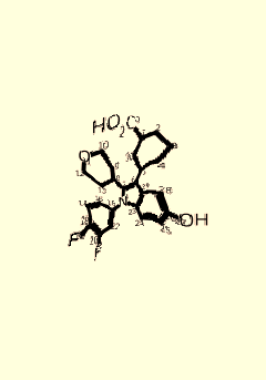 O=C(O)C1CCCC(c2c(C3CCOCC3)n(-c3ccc(F)c(F)c3)c3ccc(O)cc23)C1